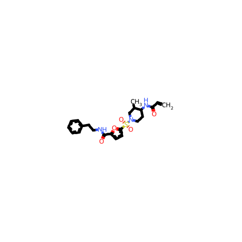 C=CC(=O)NC1CCN(S(=O)(=O)c2ccc(C(=O)NCCc3ccccc3)o2)CC1C